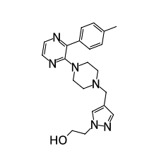 Cc1ccc(-c2nccnc2N2CCN(Cc3cnn(CCO)c3)CC2)cc1